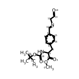 COC(=O)C(Cc1ccc(/C=N/CC=O)cc1)NC(=O)OC(C)(C)C